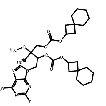 C#CC(COC(=O)OC1CC2(CCCCC2)C1)(OC)[C@H](Cn1cnc2c(N)nc(F)nc21)OC(=O)OC1CC2(CCCCC2)C1